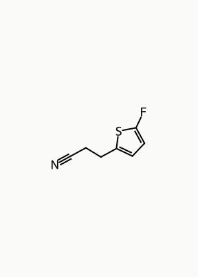 N#CCCc1ccc(F)s1